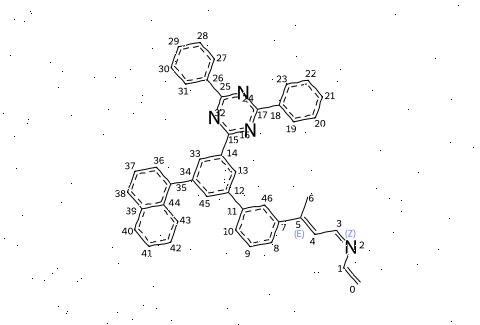 C=C/N=C\C=C(/C)c1cccc(-c2cc(-c3nc(-c4ccccc4)nc(-c4ccccc4)n3)cc(-c3cccc4ccccc34)c2)c1